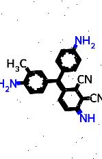 Cc1cc(C(=C2C=CC(=N)C(C#N)C2C#N)c2ccc(N)cc2)ccc1N